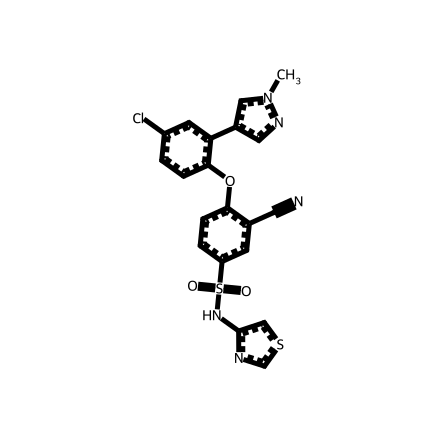 Cn1cc(-c2cc(Cl)ccc2Oc2ccc(S(=O)(=O)Nc3cscn3)cc2C#N)cn1